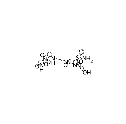 NC(=O)C(Sc1nc(N2CCC(O)CC2)nc2c1CCN(C(=O)CCCCCNc1cccc3c1C(=O)N(C1CCC(=O)NC1=O)C3=O)C2)c1ccccc1